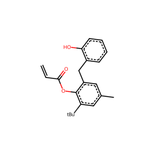 C=CC(=O)Oc1c(Cc2ccccc2O)cc(C)cc1C(C)(C)C